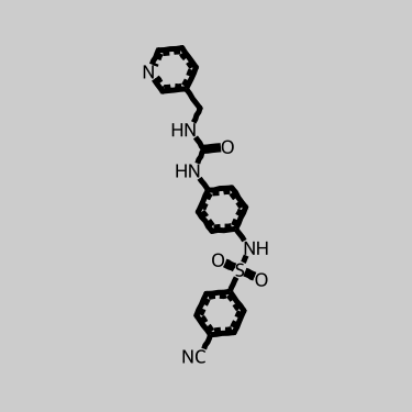 N#Cc1ccc(S(=O)(=O)Nc2ccc(NC(=O)NCc3cccnc3)cc2)cc1